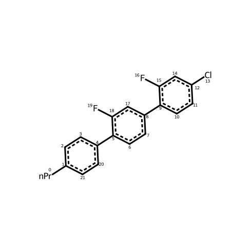 CCCc1ccc(-c2ccc(-c3ccc(Cl)cc3F)cc2F)cc1